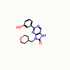 O=c1[nH]c2cnc(-c3cccc(O)c3)nc2n1CC1CCOCC1